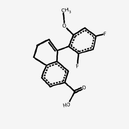 COc1cc(F)cc(F)c1C1=CCCc2ccc(C(=O)O)cc21